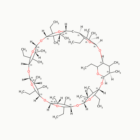 CCC1O[C@@H]2O[C@@H]3C(CC)O[C@H](O[C@@H]4C(CC)O[C@H](O[C@@H]5C(CC)O[C@H](O[C@@H]6C(CC)O[C@H](O[C@@H]7C(CC)O[C@H](O[C@@H]8C(CC)O[C@H](C[C@H]1C(C)[C@H]2C)[C@H](C)C8C)[C@H](C)C7C)[C@H](C)C6C)[C@H](C)C5C)[C@H](C)C4C)[C@H](C)C3C